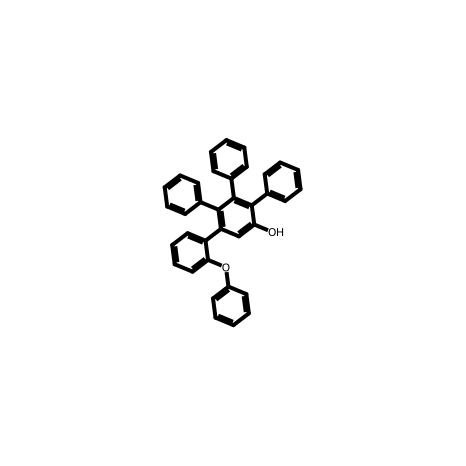 Oc1cc(-c2ccccc2Oc2ccccc2)c(-c2ccccc2)c(-c2ccccc2)c1-c1ccccc1